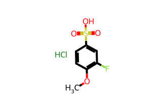 COc1ccc(S(=O)(=O)O)cc1F.Cl